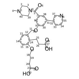 CN1CCN(C(=O)c2cc(OCc3cccc(OCCCC(=O)O)c3CCC(=O)O)cc(-c3cccnc3)c2)CC1